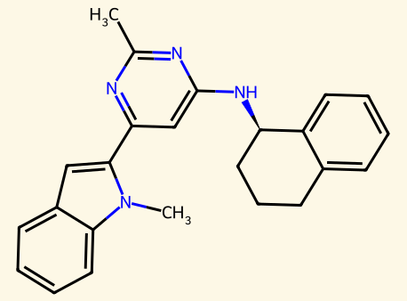 Cc1nc(N[C@@H]2CCCc3ccccc32)cc(-c2cc3ccccc3n2C)n1